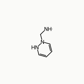 [NH]CN1C=CC=CN1